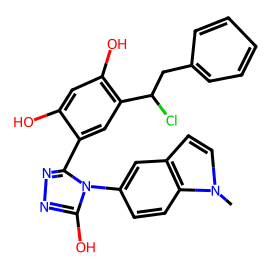 Cn1ccc2cc(-n3c(O)nnc3-c3cc(C(Cl)Cc4ccccc4)c(O)cc3O)ccc21